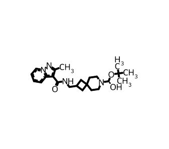 Cc1nn2ccccc2c1C(=O)NCC1CC2(CCN([C@H](O)OC(C)(C)C)CC2)C1